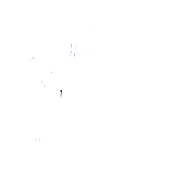 CC(C)(C)n1nc([C@H]2CC[C@H](O)C2)cc1NOC(=O)c1ccccc1